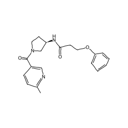 Cc1ccc(C(=O)N2CC[C@@H](NC(=O)CCOc3ccccc3)C2)cn1